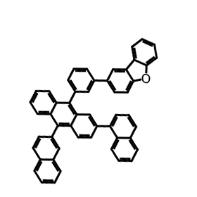 c1cc(-c2ccc3oc4ccccc4c3c2)cc(-c2c3ccccc3c(-c3ccc4ccccc4c3)c3ccc(-c4cccc5ccccc45)cc23)c1